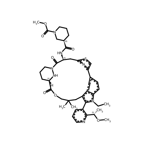 CCn1c(-c2cccnc2[C@H](C)OC)c2c3cc(ccc31)-c1csc(n1)C[C@H](NC(=O)[C@@H]1CCCN(C(=O)OC)C1)C(=O)N1CCC[C@H](N1)C(=O)OCC(C)(C)C2